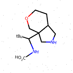 CC(C)(C)C(NC(=O)O)C12CNCC1CCOC2